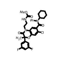 COC(=O)NCCN1C(=O)C(C)(c2cc(F)cc(F)c2)Oc2cc(Cl)c(C(=O)N(C(C)C)C3CCCCC3)cc21